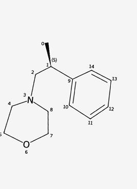 C[C@H](CN1CCOCC1)c1ccccc1